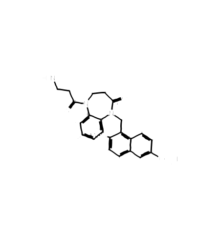 COc1ccc2cc(C(=O)O)ccc2c1CN1C(=O)CCN(C(=O)CCN)c2ccccc21